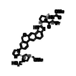 COC[C@H]1C[C@@H](c2nccn2-c2ccc3c(c2)COc2cc4c(ccc5nc([C@@H]6CC[C@H](C)N6C(=O)[C@@H](NC(=O)OC)C(C)C)[nH]c54)cc2-3)N(C(=O)O)C1